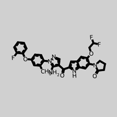 Cc1cc(Oc2ccccc2F)ccc1-n1ncc(C(=O)c2cc3cc(OCC(F)F)c(N4CCCC4=O)cc3[nH]2)c1N